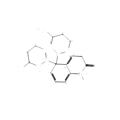 CC1CCOB(C2(B3OCCC(C)O3)C=CC=C3C2=CCC(=O)N3C)O1